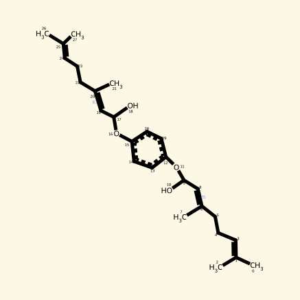 CC(C)=CCC/C(C)=C/C(O)Oc1ccc(OC(O)/C=C(\C)CCC=C(C)C)cc1